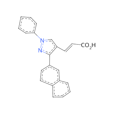 O=C(O)C=Cc1cn(-c2ccccc2)nc1-c1ccc2ccccc2c1